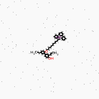 C=CCc1ccc(OCCCCCCCCCCCC[PH](c2ccccc2)(c2ccccc2)c2ccccc2)c(-c2ccc(O)c(CC=C)c2)c1